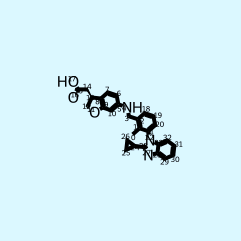 Cc1c(CNc2ccc3c(c2)OC[C@H]3CC(=O)O)cccc1-n1c(C2CC2)nc2ccccc21